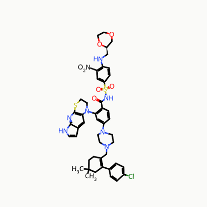 CC1(C)CCC(CN2CCN(c3ccc(C(=O)NS(=O)(=O)c4ccc(NC[C@@H]5COCCO5)c([N+](=O)[O-])c4)c(N4CCSc5nc6[nH]ccc6cc54)c3)CC2)=C(c2ccc(Cl)cc2)C1